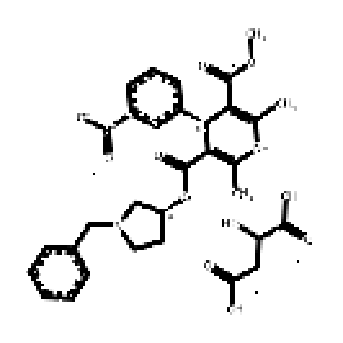 COC(=O)C1=C(C)NC(C)=C(C(=O)O[C@H]2CCN(Cc3ccccc3)C2)[C@H]1c1cccc([N+](=O)[O-])c1.O=C(O)CC(O)C(=O)O